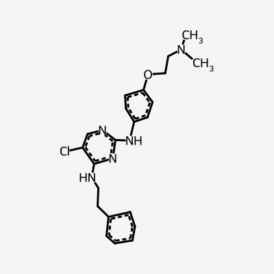 CN(C)CCOc1ccc(Nc2ncc(Cl)c(NCCc3ccccc3)n2)cc1